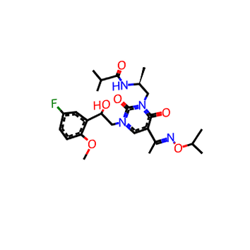 COc1ccc(F)cc1C(O)Cn1cc(/C(C)=N/OC(C)C)c(=O)n(C[C@H](C)NC(=O)C(C)C)c1=O